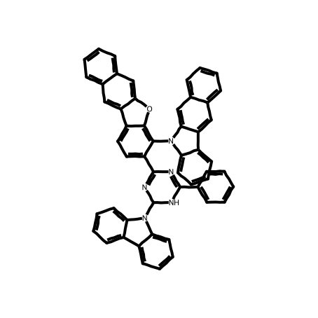 c1ccc(C2=NC(c3ccc4c(oc5cc6ccccc6cc54)c3-n3c4ccccc4c4cc5ccccc5cc43)=NC(n3c4ccccc4c4ccccc43)N2)cc1